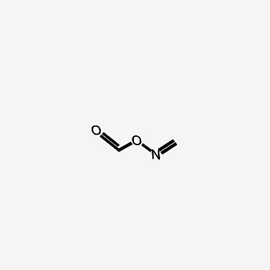 C=NOC=O